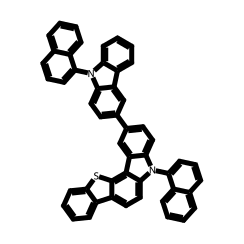 c1ccc2c(-n3c4ccccc4c4cc(-c5ccc6c(c5)c5c7sc8ccccc8c7ccc5n6-c5cccc6ccccc56)ccc43)cccc2c1